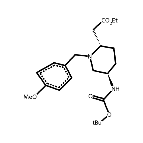 CCOC(=O)C[C@@H]1CC[C@@H](NC(=O)OC(C)(C)C)CN1Cc1ccc(OC)cc1